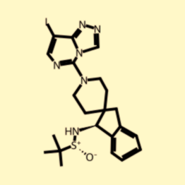 CC(C)(C)[S@@+]([O-])N[C@@H]1c2ccccc2CC12CCN(c1ncc(I)c3nncn13)CC2